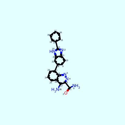 NC(=O)c1nnc2c(-c3ccc4nc(-c5ccccc5)[nH]c4c3)cccc2c1N